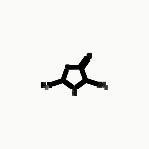 NC1NC(N)C(=O)S1